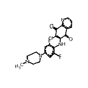 CN1CCN(c2cc(F)c(NC3=C(Cl)C(=O)c4ncccc4C3=O)c(F)c2)CC1